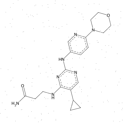 NC(=O)CCNc1nc(Nc2ccc(N3CCOCC3)nc2)ncc1C1CC1